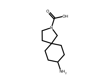 NC1CCC2(CC1)CCN(C(=O)O)C2